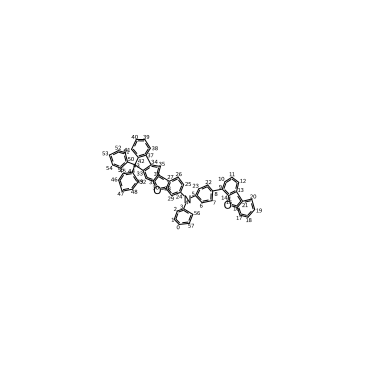 c1ccc(N(c2ccc(-c3cccc4c3oc3ccccc34)cc2)c2ccc3c(c2)oc2cc4c(cc23)-c2ccccc2C4(c2ccccc2)c2ccccc2)cc1